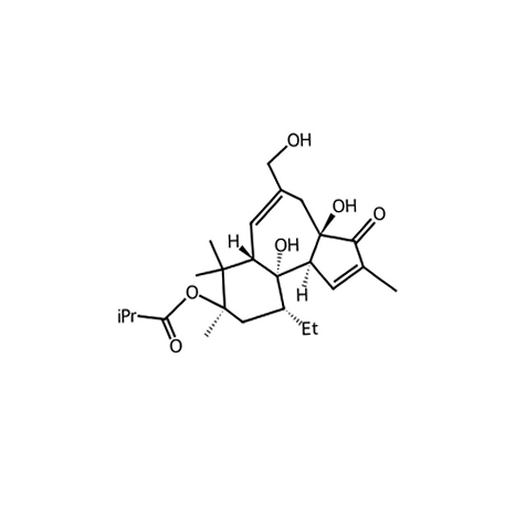 CC[C@@H]1C[C@@](C)(OC(=O)C(C)C)C(C)(C)[C@@H]2C=C(CO)C[C@]3(O)C(=O)C(C)=C[C@H]3[C@@]12O